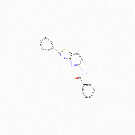 O=C(Nc1ccc2sc(-c3ccccc3)nc2n1)c1ccccc1